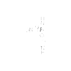 O=C(C1CC1)N1CCC(CN2C(=O)C3(CCNCC3)N=C2c2ccc(C3=CC4CCNCC4C=C3)cc2)C1